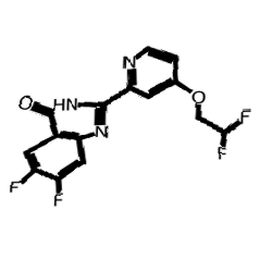 O=c1[nH]c(-c2cc(OCC(F)F)ccn2)nc2cc(F)c(F)cc12